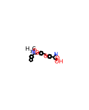 CO/N=C(\COc1ccc(COc2ccc(C(C#N)CC(=O)O)cc2)cc1)c1ccc2c(c1)CCC2